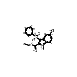 CCOC(=O)c1[nH]c2ccc(Cl)cc2c1S(=O)(=O)c1ccccc1